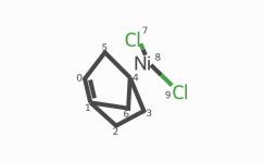 C1=C2CCC(C1)C2.[Cl][Ni][Cl]